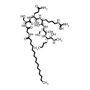 CCCCCCCCCCCCCCCC(=O)NCC(=O)N[C@@H](CO)C(=O)N[C@@H](CCC(N)=O)[C@H](O)N[C@@H](CCCCNC(=N)N)[C@H](O)N[C@@H](CO)[C@H](O)N[C@@H](CCCC)[C@H](O)NC